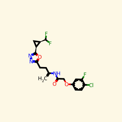 C=C(CCc1nnc([C@H]2C[C@H]2C(F)F)o1)NC(=O)COc1ccc(Cl)c(F)c1